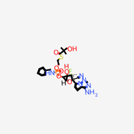 CC(C)(CO)C(=O)SCCOP(=O)(NCc1ccccc1)OC1[C@H]2O[C@@](C#N)(c3ccc4c(N)ncnn34)[C@](C)(F)[C@@]12O